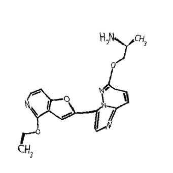 CCOc1nccc2oc(-c3cnc4ccc(OC[C@H](C)N)nn34)cc12